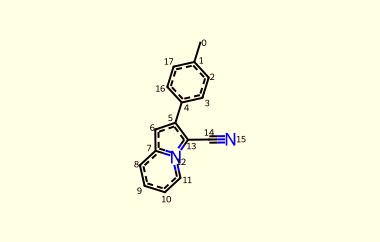 Cc1ccc(-c2cc3ccccn3c2C#N)cc1